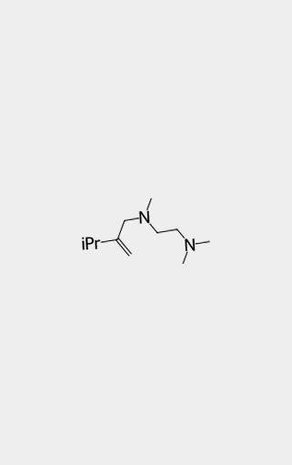 C=C(CN(C)CCN(C)C)C(C)C